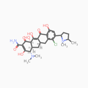 CC1CCC(c2cc(O)c3c(c2Cl)C[C@H]2C[C@H]4[C@H](N(C)C)C(O)=C(C(N)=O)C(=O)[C@@]4(O)C(O)=C2C3=O)N1C